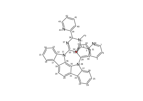 CN1C(c2ccccn2)=NC(n2c3ccccc3c3ccc4c5ccccc5n(-c5ccccc5)c4c32)=NC1c1ccccn1